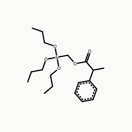 CCCO[Si](COC(=O)C(C)c1ccccc1)(OCCC)OCCC